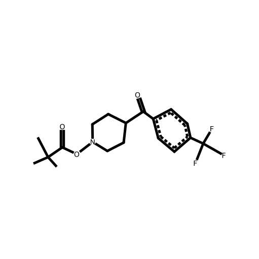 CC(C)(C)C(=O)ON1CCC(C(=O)c2ccc(C(F)(F)F)cc2)CC1